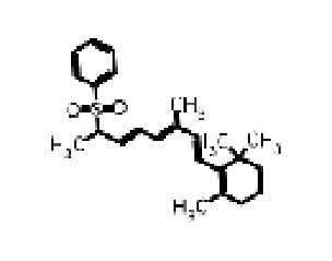 CC(C=CC1=C(C)CCCC1(C)C)=CC=CC(C)S(=O)(=O)c1ccccc1